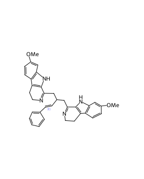 COc1ccc2c3c([nH]c2c1)C(CC(/C=C/c1ccccc1)CC1=NCCc2c1[nH]c1cc(OC)ccc21)=NCC3